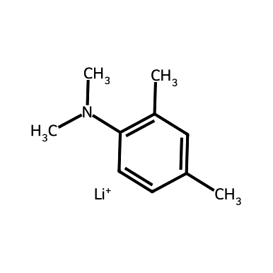 Cc1ccc(N(C)C)c(C)c1.[Li+]